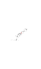 CNC(=O)COC(=O)N1CCN(c2ccc(-c3ccc(C(F)(F)F)cc3)cc2)CC1